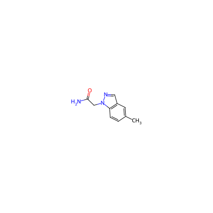 Cc1ccc2c(cnn2CC(N)=O)c1